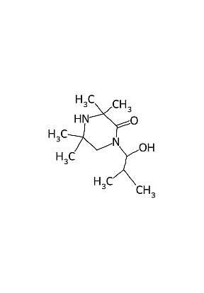 CC(C)C(O)N1CC(C)(C)NC(C)(C)C1=O